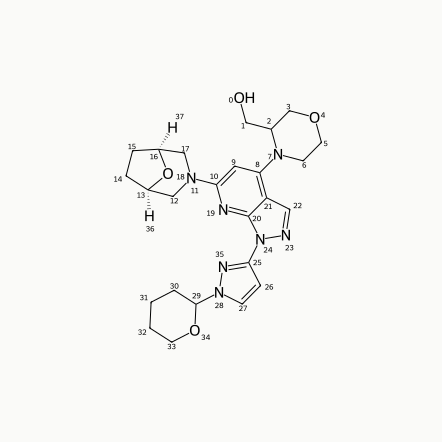 OCC1COCCN1c1cc(N2C[C@H]3CC[C@@H](C2)O3)nc2c1cnn2-c1ccn(C2CCCCO2)n1